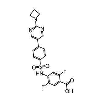 O=C(O)c1cc(F)c(NS(=O)(=O)c2ccc(-c3cnc(N4CCC4)nc3)cc2)cc1F